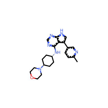 Cc1ccc(-c2c[nH]c3ncnc(N[C@H]4CC[C@H](N5CCOCC5)CC4)c23)cn1